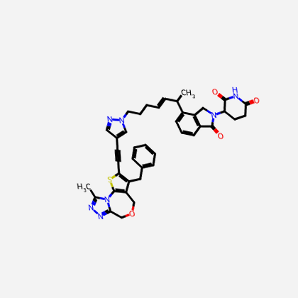 Cc1nnc2n1-c1sc(C#Cc3cnn(CCC/C=C/C(C)c4cccc5c4CN(C4CCC(=O)NC4=O)C5=O)c3)c(Cc3ccccc3)c1COC2